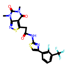 Cn1c(=O)c2c(CC(=O)Nc3nc(-c4cccc(C(F)(F)F)c4F)cs3)snc2n(C)c1=O